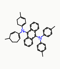 CC1=CC=C(N(C2=CCCC(C)C=C2)c2c3ccccc3c(N(c3ccc(C)cc3)c3ccc(C)cc3)c3ccccc23)CC1